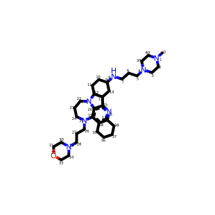 CN1CCN(CCCNC2CCC3C(C2)c2nc4c(c5c2N3CCCN5CCCN2CCOCC2)CCCC4)CC1